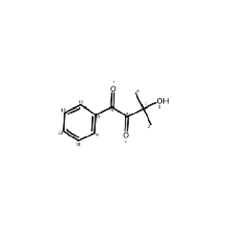 CC(C)(O)C(=O)C(=O)c1ccccc1